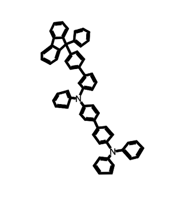 c1ccc(N(c2ccccc2)c2ccc(-c3ccc(N(c4ccccc4)c4cccc(-c5ccc(C6(c7ccccc7)c7ccccc7-c7ccccc76)cc5)c4)cc3)cc2)cc1